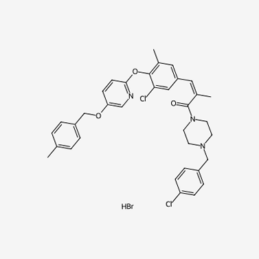 Br.CC(=Cc1cc(C)c(Oc2ccc(OCc3ccc(C)cc3)cn2)c(Cl)c1)C(=O)N1CCN(Cc2ccc(Cl)cc2)CC1